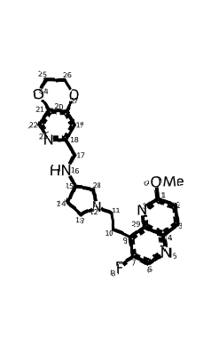 COc1ccc2ncc(F)c(CCN3CCC(NCc4cc5c(cn4)OCCO5)C3)c2n1